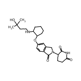 CC(C)(O)CCNC1CCCCC1Oc1ccc2c(c1)CN(C1CCC(=O)NC1=O)C2=O